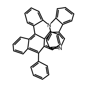 c1ccc(-c2c3ccccc3c(-c3ccccc3-n3c4ccccc4c4cnccc43)c3ccccc23)cc1